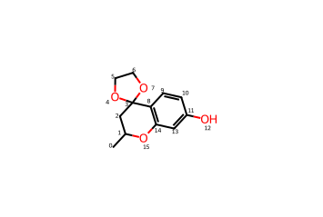 CC1CC2(OCCO2)c2ccc(O)cc2O1